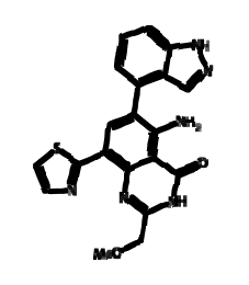 COCc1nc2c(-c3nccs3)cc(-c3cccc4[nH]ncc34)c(N)c2c(=O)[nH]1